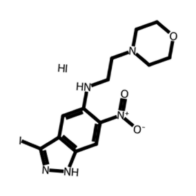 I.O=[N+]([O-])c1cc2[nH]nc(I)c2cc1NCCN1CCOCC1